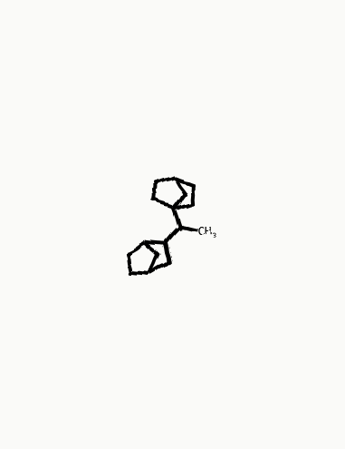 C[C](C1CC2CCC1C2)C12CCC(CC1)C2